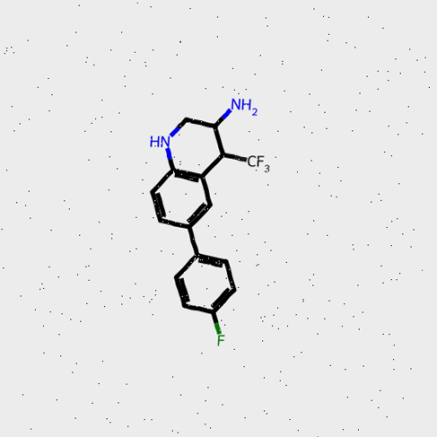 NC1CNc2ccc(-c3ccc(F)cc3)cc2C1C(F)(F)F